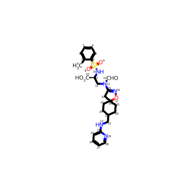 Cc1ccccc1S(=O)(=O)N[C@@H](CN(C=O)C1=NOC2(CCC(CNc3ccccn3)CC2)C1)C(=O)O